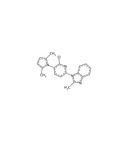 Cc1ccc(C)n1-c1ccc(-n2c(C)nc3ccccc32)nc1Cl